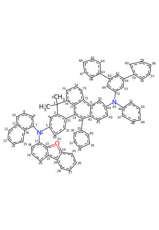 CC1(C)c2cc(N(c3cccc4ccccc34)c3cccc4c3oc3ccccc34)ccc2-c2c(-c3ccccc3)c3ccc(N(c4ccccc4)c4cc(-c5ccccc5)cc(-c5ccccc5)c4)cc3c3cccc1c23